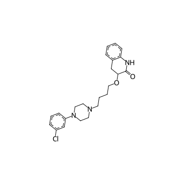 O=C1Nc2ccccc2CC1OCCCCN1CCN(c2cccc(Cl)c2)CC1